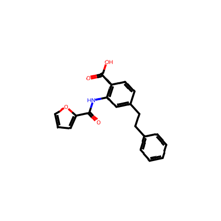 O=C(Nc1cc(CCc2ccccc2)ccc1C(=O)O)c1ccco1